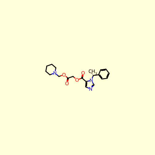 C[C@H](c1ccccc1)n1cncc1C(=O)OCC(=O)OCN1CCCCC1